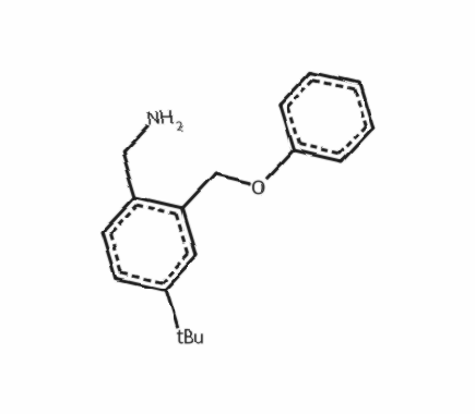 CC(C)(C)c1ccc(CN)c(COc2ccccc2)c1